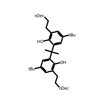 CCCCCCCCCCCCc1cc(C(C)(C)C)cc(C(C)(C)c2cc(C(C)(C)C)cc(CCCCCCCCCCCC)c2O)c1O